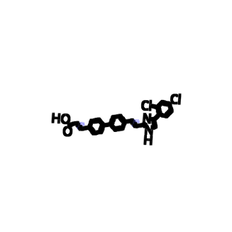 O=C(O)/C=C/c1ccc(-c2ccc(/C=C/c3nc(-c4ccc(Cl)cc4Cl)c[nH]3)cc2)cc1